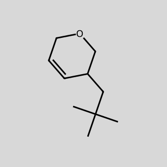 CC(C)(C)CC1C=CCOC1